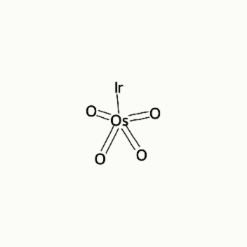 [O]=[Os](=[O])(=[O])(=[O])[Ir]